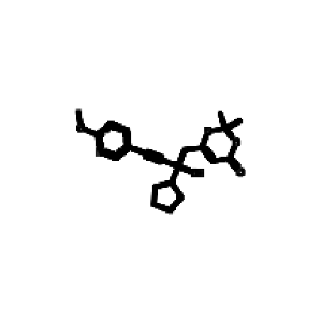 COc1ccc(C#CC(O)(CC2=CC(=O)OC(C)(C)O2)C2CCCC2)cn1